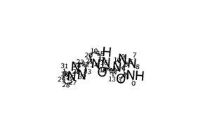 CNC(=O)c1c(N(C)C)ncn1[C@@H](C)C(=O)Nc1cccc(-c2cnc(N3CCC[C@H]3C)nc2)n1